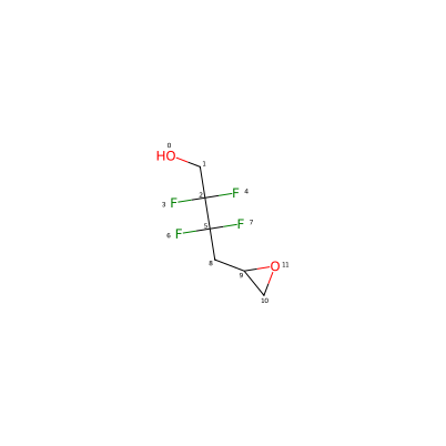 OCC(F)(F)C(F)(F)CC1CO1